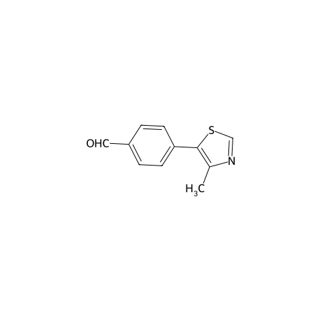 Cc1ncsc1-c1ccc(C=O)cc1